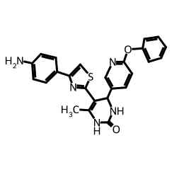 CC1=C(c2nc(-c3ccc(N)cc3)cs2)C(c2ccc(Oc3ccccc3)nc2)NC(=O)N1